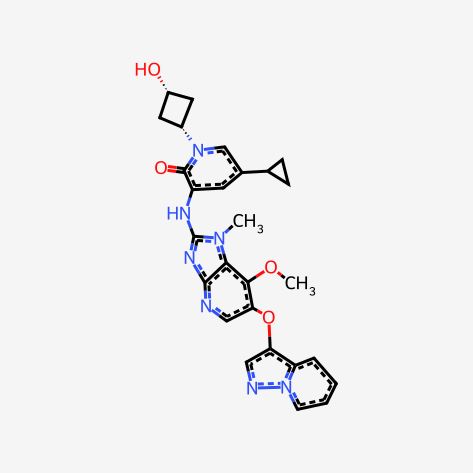 COc1c(Oc2cnn3ccccc23)cnc2nc(Nc3cc(C4CC4)cn([C@H]4C[C@@H](O)C4)c3=O)n(C)c12